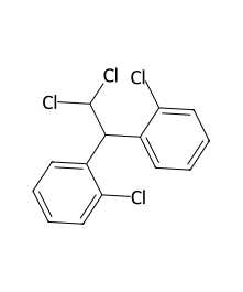 Clc1ccccc1C(c1ccccc1Cl)C(Cl)Cl